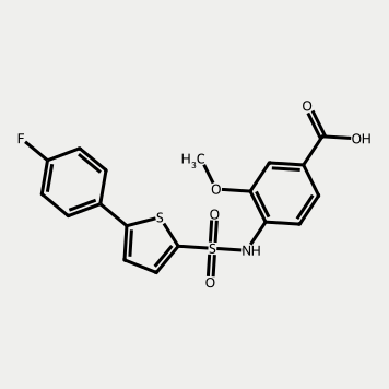 COc1cc(C(=O)O)ccc1NS(=O)(=O)c1ccc(-c2ccc(F)cc2)s1